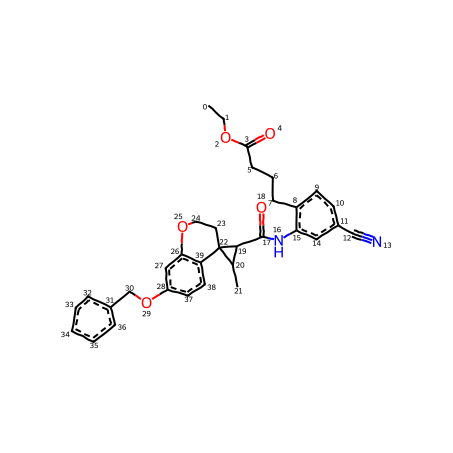 CCOC(=O)CCCc1ccc(C#N)cc1NC(=O)C1C(C)C12CCOc1cc(OCc3ccccc3)ccc12